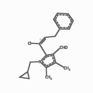 Cc1c(C=O)c(/C(Cl)=C\Cc2ccccc2)n(CC2CC2)c1C